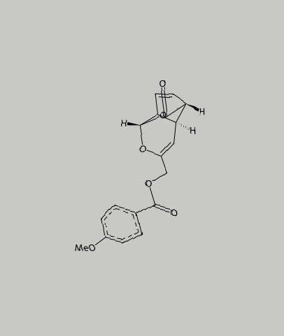 COc1ccc(C(=O)OCC2=C[C@H]3C4C=C[C@H]3C(=O)O[C@@H]4O2)cc1